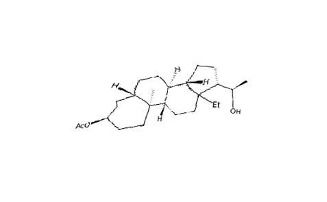 CCC12CC[C@H]3[C@@H](CC[C@H]4C[C@H](OC(C)=O)CC[C@@]43C)[C@@H]1CC[C@@H]2[C@@H](C)O